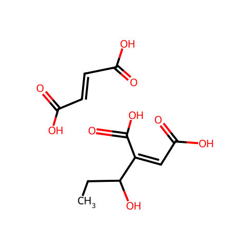 CCC(O)C(=CC(=O)O)C(=O)O.O=C(O)C=CC(=O)O